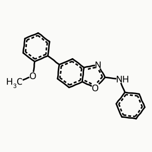 COc1ccccc1-c1ccc2oc(Nc3ccccc3)nc2c1